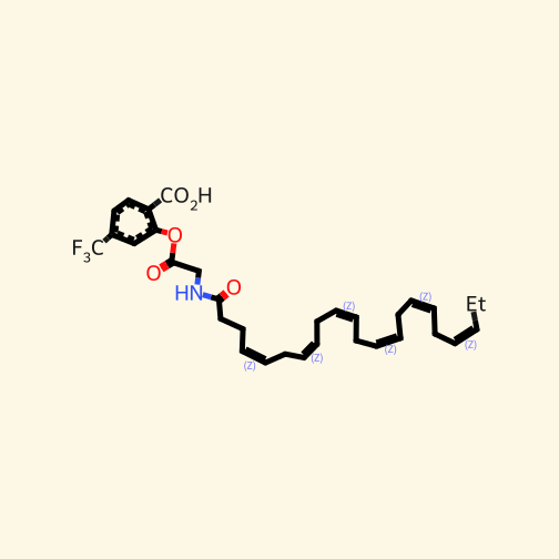 CC/C=C\C/C=C\C/C=C\C/C=C\C/C=C\C/C=C\CCC(=O)NCC(=O)Oc1cc(C(F)(F)F)ccc1C(=O)O